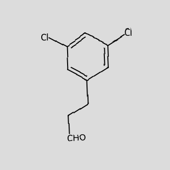 O=CCCc1cc(Cl)cc(Cl)c1